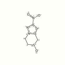 O=[N+]([O-])c1cc2n(n1)CC[S+]([O-])C2